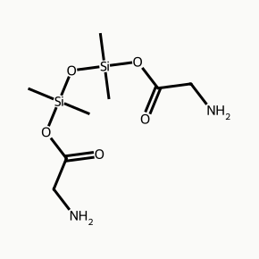 C[Si](C)(OC(=O)CN)O[Si](C)(C)OC(=O)CN